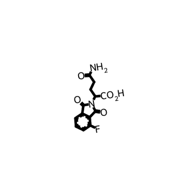 NC(=O)CCC(C(=O)O)N1C(=O)c2cccc(F)c2C1=O